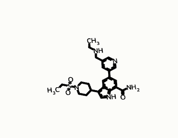 CCNCc1cncc(-c2cc(C(N)=O)c3[nH]cc(C4CCN(S(=O)(=O)CC)CC4)c3c2)c1